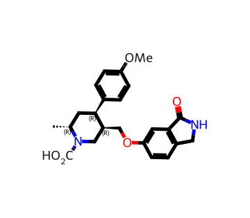 COc1ccc([C@@H]2C[C@@H](C)N(C(=O)O)C[C@@H]2COc2ccc3c(c2)C(=O)NC3)cc1